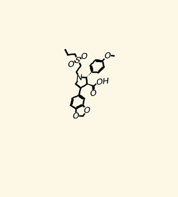 CCCS(=O)(=O)CCN1CC(c2ccc3c(c2)OCO3)[C@H](C(=O)O)[C@H]1c1ccc(OC)cc1